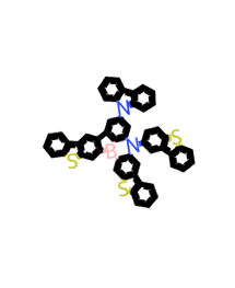 c1ccc2c(c1)sc1ccc(N3c4cc5c(cc4B4c6cc7sc8ccccc8c7cc6-c6cc(-n7c8ccccc8c8ccccc87)cc3c64)sc3ccccc35)cc12